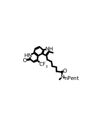 CCCCCN(C)C(=O)CCCCCc1c(C)[nH]c2ccc3[nH]c(=O)cc(C(F)(F)F)c3c12